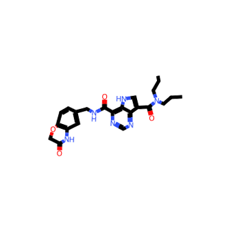 CCCN(CCC)C(=O)c1c[nH]c2c(C(=O)NCc3ccc4c(c3)NC(=O)CO4)ncnc12